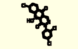 O=c1c2ccc(Cl)cc2n(O)c2c(=O)n(-c3ccc(Cl)cc3Cl)ncc12